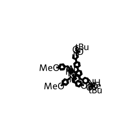 COc1ccc(CN(Cc2ccc(OC)cc2)S(=O)(=O)c2c(CC3CCC(NC(=O)OC(C)(C)C)CC3)ccc(-c3ccc(C4CCN(C(=O)OC(C)(C)C)C4)cc3)c2-c2nnn(Cc3ccc(OC)cc3)n2)cc1